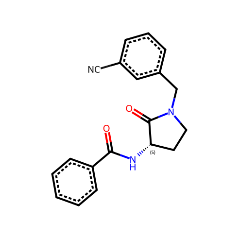 N#Cc1cccc(CN2CC[C@H](NC(=O)c3ccccc3)C2=O)c1